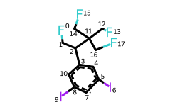 FCC(c1cc(I)[c]c(I)c1)C(CF)(CF)CF